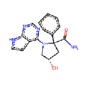 NC(=O)[C@]1(c2ccccc2)C[C@H](O)CN1c1ncnc2[nH]ccc12